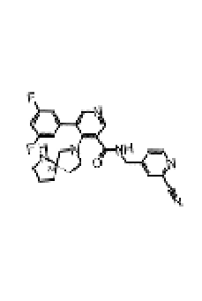 N#Cc1cc(CNC(=O)c2cncc(-c3cc(F)cc(F)c3)c2N2CC[C@@]3(CCCN3)C2)ccn1